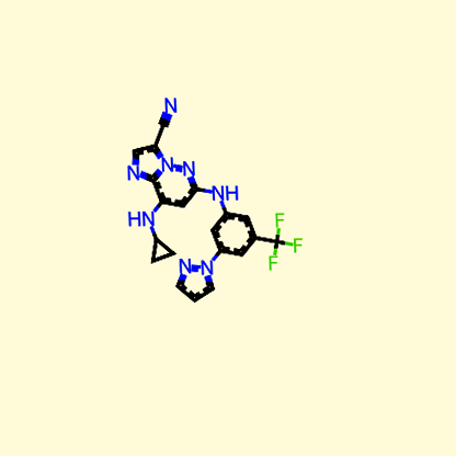 N#Cc1cnc2c(NC3CC3)cc(Nc3cc(-n4cccn4)cc(C(F)(F)F)c3)nn12